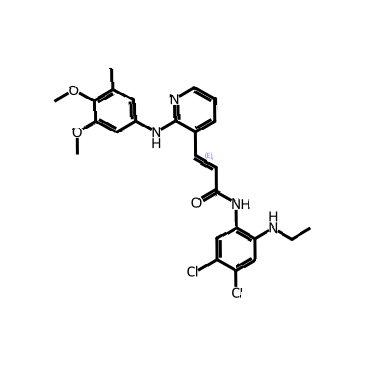 CCNc1cc(Cl)c(Cl)cc1NC(=O)/C=C/c1cccnc1Nc1cc(C)c(OC)c(OC)c1